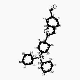 O=Cc1ccc2cc(-c3ccc([As](c4ccccc4)c4ccccc4)cc3)oc2c1